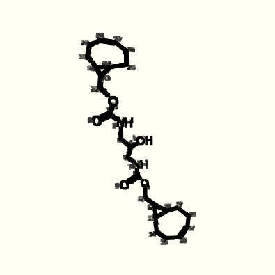 O=C(NCC(O)CNC(=O)OCC1C2CCC=CCCC21)OCC1C2CCC=CCCC21